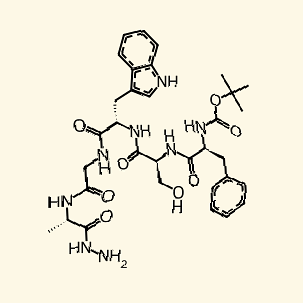 C[C@H](NC(=O)CNC(=O)[C@H](Cc1c[nH]c2ccccc12)NC(=O)[C@H](CO)NC(=O)[C@H](Cc1ccccc1)NC(=O)OC(C)(C)C)C(=O)NN